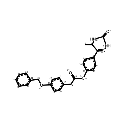 CC1NC(=O)NN=C1c1ccc(NC(=O)Cc2ccc(OCc3ccccc3)cc2)cc1